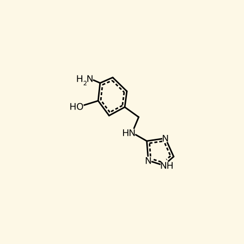 Nc1ccc(CNc2nc[nH]n2)cc1O